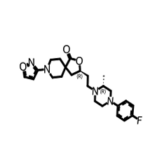 C[C@@H]1CN(c2ccc(F)cc2)CCN1CC[C@H]1CC2(CCN(c3ccon3)CC2)C(=O)O1